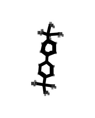 CC(C)(C)C1=CCC(c2ccc(C(C)(C)C)cc2)C=C1